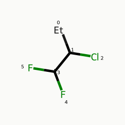 CCC(Cl)[C](F)F